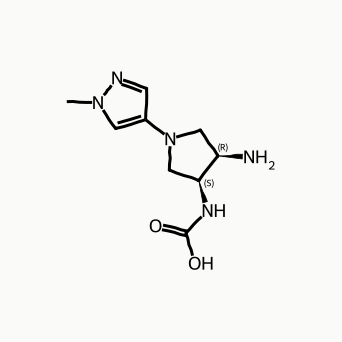 Cn1cc(N2C[C@@H](N)[C@@H](NC(=O)O)C2)cn1